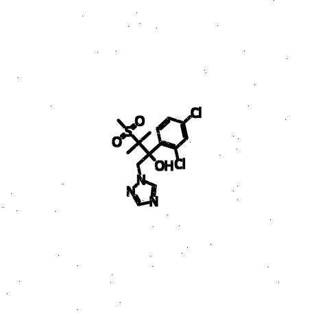 CC(C)(C(O)(Cn1cncn1)c1ccc(Cl)cc1Cl)S(C)(=O)=O